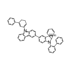 C1=C[C@H]2C3N(c4ccccc4-c4ccccc4)c4ccc(-c5ccc6c(c5)c5ccccc5n6C5=CCCC(c6ccccc6)=C5)cc4C32C=C1